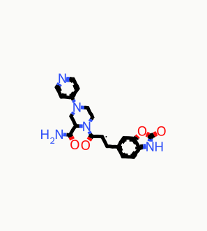 NC(=O)C1CN(c2ccncc2)CCN1C(=O)[CH]Cc1ccc2[nH]c(=O)oc2c1